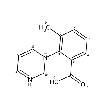 Cc1cccc(C(=O)O)c1N1C=CC=NC1